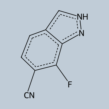 N#Cc1ccc2c[nH]nc2c1F